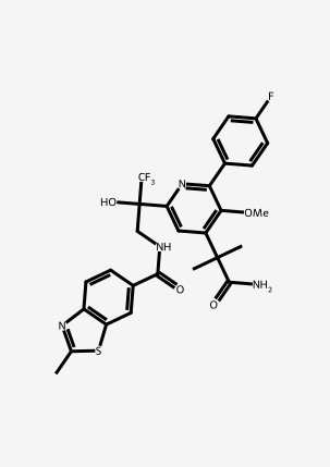 COc1c(C(C)(C)C(N)=O)cc(C(O)(CNC(=O)c2ccc3nc(C)sc3c2)C(F)(F)F)nc1-c1ccc(F)cc1